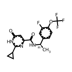 C[C@@H](NC(=O)c1cc(=O)[nH]c(C2CC2)n1)c1ccc(OC(F)(F)F)c(F)c1